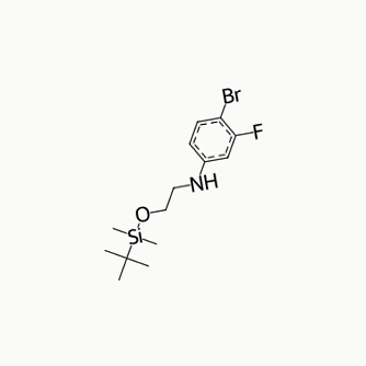 CC(C)(C)[Si](C)(C)OCCNc1ccc(Br)c(F)c1